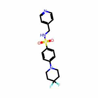 O=S(=O)(NCc1ccncc1)c1ccc(N2CCC(F)(F)CC2)cc1